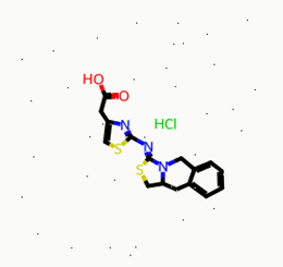 Cl.O=C(O)Cc1csc(N=C2SCC3Cc4ccccc4CN23)n1